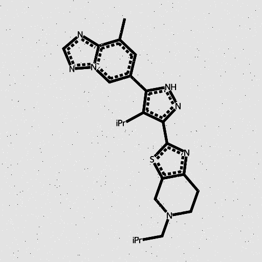 Cc1cc(-c2[nH]nc(-c3nc4c(s3)CN(CC(C)C)CC4)c2C(C)C)cn2ncnc12